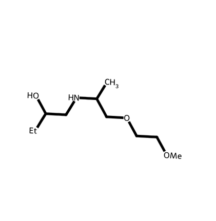 CCC(O)CNC(C)COCCOC